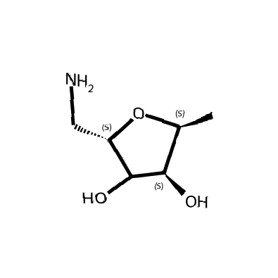 C[C@@H]1O[C@@H](CN)C(O)[C@@H]1O